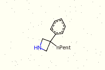 CCCCCC1(c2ccccc2)CNC1